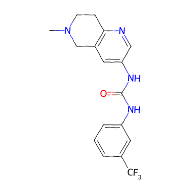 CN1CCc2ncc(NC(=O)Nc3cccc(C(F)(F)F)c3)cc2C1